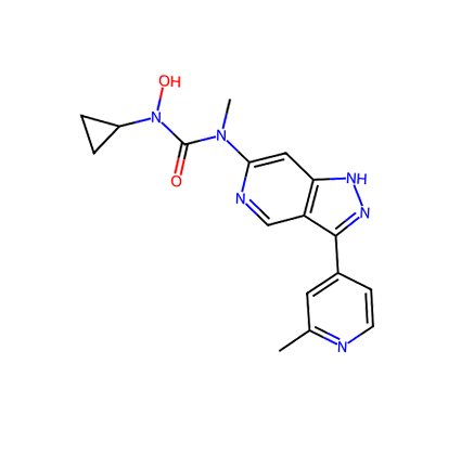 Cc1cc(-c2n[nH]c3cc(N(C)C(=O)N(O)C4CC4)ncc23)ccn1